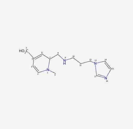 CN1C=CC(C(=O)O)=CC1CNCCCn1ccnc1